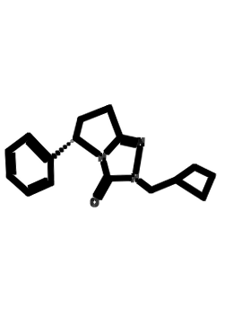 O=c1n(CC2CCC2)nc2n1[C@H](c1ccccc1)CC2